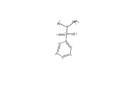 [CH2]C(=O)C(N)S(=O)(=O)c1ccccc1